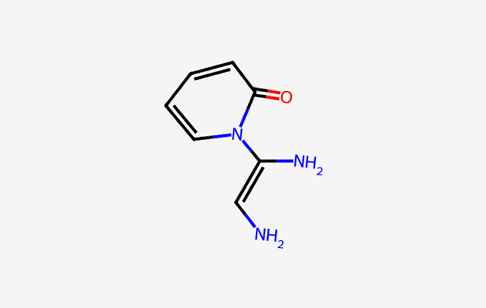 N/C=C(\N)n1ccccc1=O